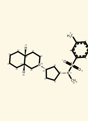 Cc1cccc(S(=O)(=O)N(C)[C@@H]2CC[C@H](N3CC[C@H]4CCCC[C@H]4C3)C2)c1